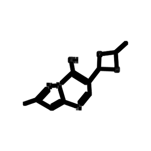 Cc1cc2ncc(C3OC(C)O3)c(O)n2n1